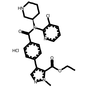 CCOC(=O)c1c(-c2ccc(C(=O)N(c3ncccc3Cl)[C@@H]3CCCNC3)cc2)cnn1C.Cl